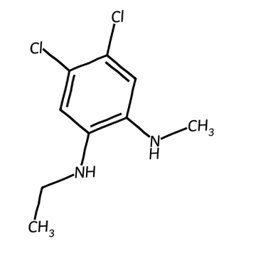 CCNc1cc(Cl)c(Cl)cc1NC